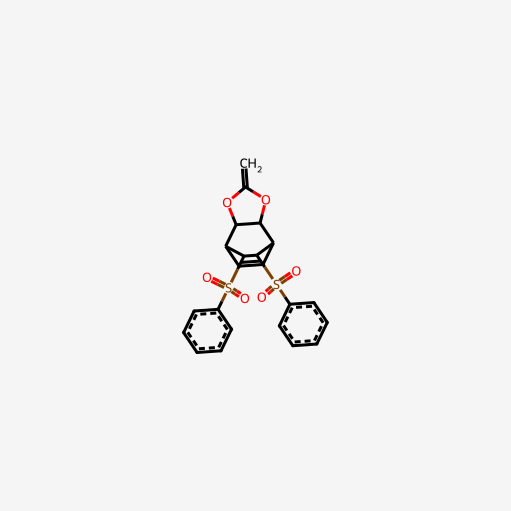 C=C1OC2C3C=CC(C2O1)C(S(=O)(=O)c1ccccc1)C3S(=O)(=O)c1ccccc1